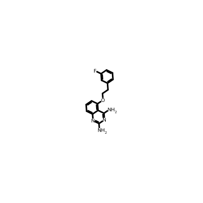 Nc1nc(N)c2c(OCCc3cccc(F)c3)cccc2n1